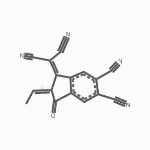 C/C=C1\C(=O)c2cc(C#N)c(C#N)cc2C1=C(C#N)C#N